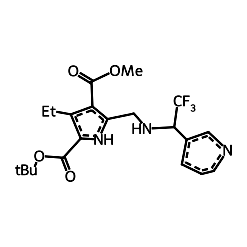 CCc1c(C(=O)OC(C)(C)C)[nH]c(CNC(c2cccnc2)C(F)(F)F)c1C(=O)OC